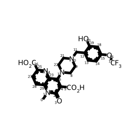 Cn1c(=O)c(C(=O)O)c(N2CCN(Cc3ccc(OC(F)(F)F)cc3O)CC2)c2nc(C(=O)O)ccc21